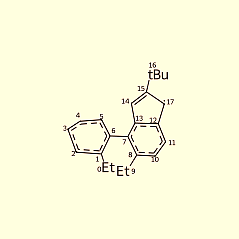 CCc1ccccc1-c1c(CC)ccc2c1C=C(C(C)(C)C)[CH]2